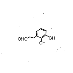 O=CCCc1cccc(O)c1O